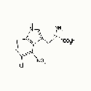 N[C@@H](Cc1c[nH]c2ccc(Cl)c([N+](=O)[O-])c12)C(=O)O